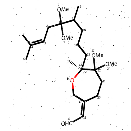 COC(CC=C(C)C)(OC)C(C)CCC[C@]1(C)OCC(=CC=O)CCC1(OC)OC